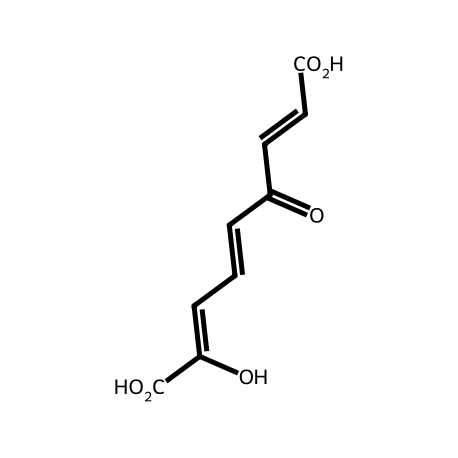 O=C(O)C=CC(=O)C=CC=C(O)C(=O)O